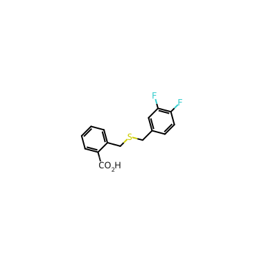 O=C(O)c1ccccc1CSCc1ccc(F)c(F)c1